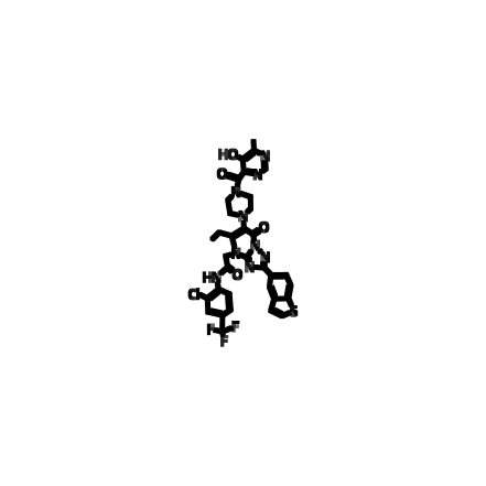 CCc1c(N2CCN(C(=O)c3ncnc(C)c3O)CC2)c(=O)n2nc(-c3ccc4sccc4c3)nc2n1CC(=O)Nc1ccc(C(F)(F)F)cc1Cl